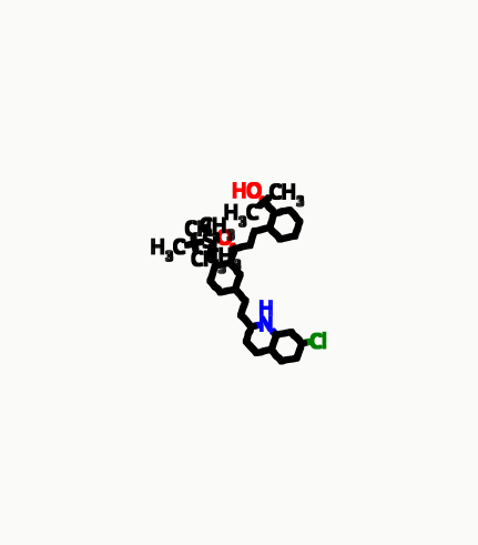 CC(C)(O)C1CCCCC1CCC(O[Si](C)(C)C(C)(C)C)C1CCCC(CCC2CCC3CCC(Cl)CC3N2)C1